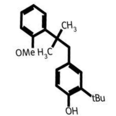 COc1ccccc1C(C)(C)Cc1ccc(O)c(C(C)(C)C)c1